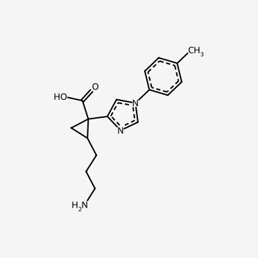 Cc1ccc(-n2cnc(C3(C(=O)O)CC3CCCN)c2)cc1